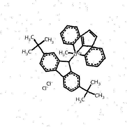 CC(C)(C)c1ccc2c(c1)[CH]([Zr+2]([CH3])([C]1=CC=CC1)([c]1ccccc1)[c]1ccccc1)c1cc(C(C)(C)C)ccc1-2.[Cl-].[Cl-]